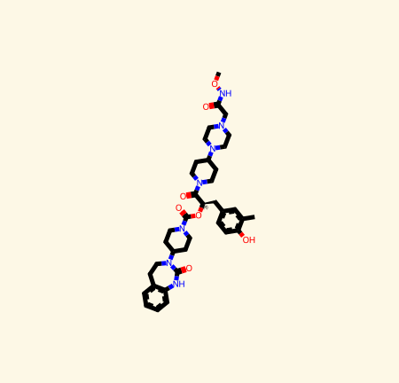 CONC(=O)CN1CCN(C2CCN(C(=O)[C@@H](Cc3ccc(O)c(C)c3)OC(=O)N3CCC(N4CCc5ccccc5NC4=O)CC3)CC2)CC1